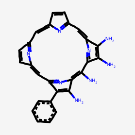 NC1=C(N)C2=NC1=CC1=NC(=CC3=NC(=CC4=NC(=C2N)C(N)=C4c2ccccc2)C=C3)C=C1